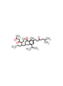 CCCC(CC1CC(=O)c2c(C)c(CCC(=O)CCC(C)C)cc(C(C)C)c2C1)C(CC)C(=O)CC(C)=O